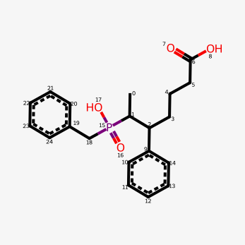 CC(C(CCCC(=O)O)c1ccccc1)P(=O)(O)Cc1ccccc1